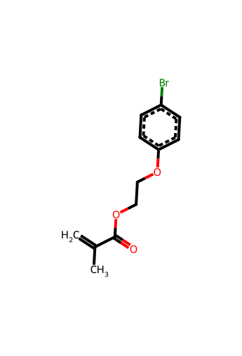 C=C(C)C(=O)OCCOc1ccc(Br)cc1